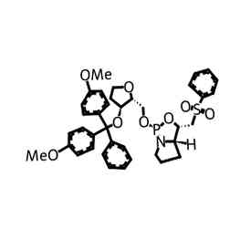 COc1ccc(C(O[C@H]2CCO[C@@H]2CO[P@@]2O[C@H](CS(=O)(=O)c3ccccc3)[C@@H]3CCCN32)(c2ccccc2)c2ccc(OC)cc2)cc1